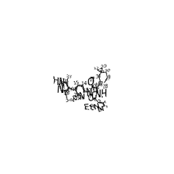 CCn1nccc1C(=O)N[C@H](C(=O)Nc1ccc(-c2c(C)n[nH]c2C)c(F)n1)[C@H]1CCCC2(CC2)C1